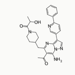 CC(=O)c1c(CC2CCN(C(=O)C(C)O)CC2)nc2c(-c3ccc(-c4ccccc4)nc3)cnn2c1N